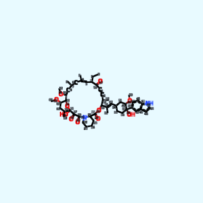 CCC1/C=C(\C)CC(C)CC(OC)C2OC(O)(C(=O)C(=O)N3CCCCC3C(=O)OC(C(C)=CC3CCC(O)(c4ccc5[nH]ccc5c4)C(OC)C3)C(C)CCC1=O)C(C)CC2OC